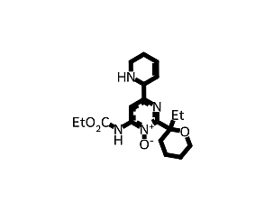 CCOC(=O)Nc1cc(C2C=CCCN2)nc(C2(CC)CCCCO2)[n+]1[O-]